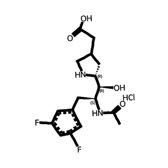 CC(=O)N[C@@H](Cc1cc(F)cc(F)c1)[C@H](O)[C@H]1CC(CC(=O)O)CN1.Cl